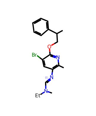 CCN(C)/C=N/c1cc(Br)c(OCC(C)c2ccccc2)nc1C